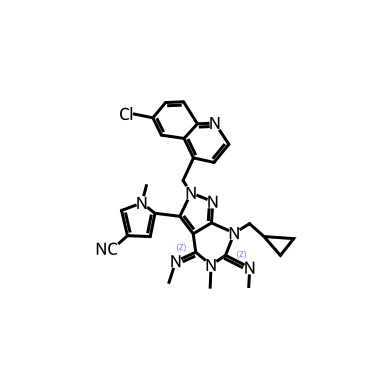 C/N=c1/c2c(-c3cc(C#N)cn3C)n(Cc3ccnc4ccc(Cl)cc34)nc2n(CC2CC2)/c(=N/C)n1C